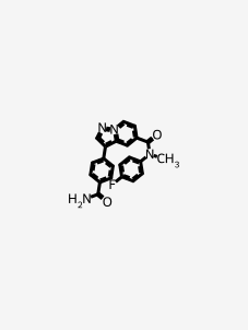 CN(C(=O)c1ccn2ncc(-c3ccc(C(N)=O)cc3)c2c1)c1ccc(F)cc1